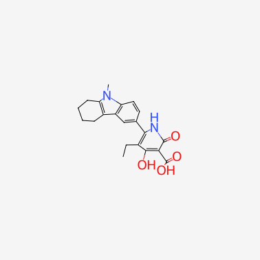 CCc1c(-c2ccc3c(c2)c2c(n3C)CCCC2)[nH]c(=O)c(C(=O)O)c1O